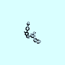 COc1nc(N2CCN3CCOCC3C2)cc(-n2ncc3cc(C)c(C4CCN(C5COC5)CC4)cc32)n1